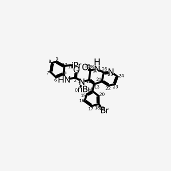 CCCCN(C(=O)Nc1ccccc1C(C)C)c1c(-c2cccc(Br)c2)c2cccnc2[nH]c1=O